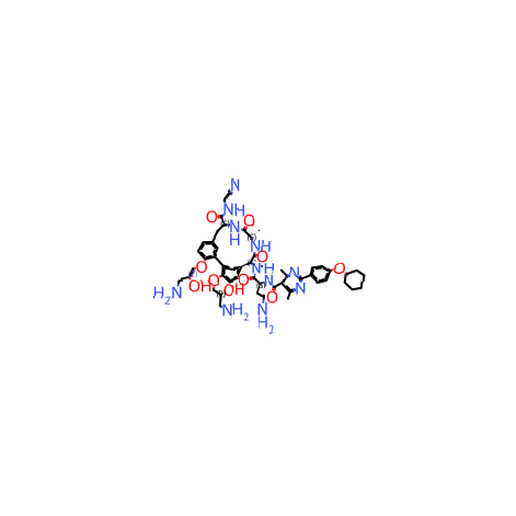 Cc1nc(-c2ccc(OC3CCCCC3)cc2)nc(C)c1C(=O)N[C@@H](CCN)C(=O)N(C)[C@@H]1C(=O)N[C@@H](C)C(=O)N[C@H](C(=O)NCC#N)Cc2ccc(O/C=C(\O)CN)c(c2)-c2cc1ccc2OC[C@H](O)CN